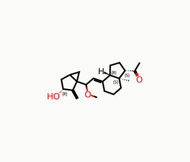 C=C1[C@H](O)CC2CC12C(C=C1CCC[C@]2(C)[C@@H](C(C)=O)CC[C@@H]12)OC